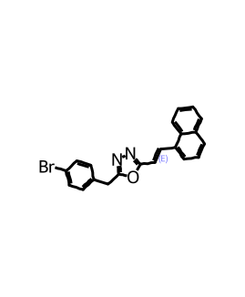 Brc1ccc(Cc2nnc(/C=C/c3cccc4ccccc34)o2)cc1